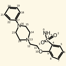 NS(=O)(=O)c1ccccc1OCCN1CCN(c2ccccc2)CC1